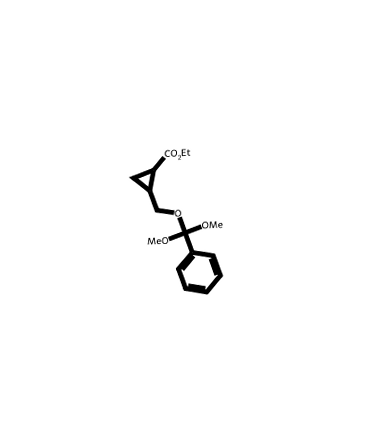 CCOC(=O)C1CC1COC(OC)(OC)c1ccccc1